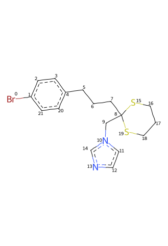 Brc1ccc(CCCC2(Cn3ccnc3)SCCCS2)cc1